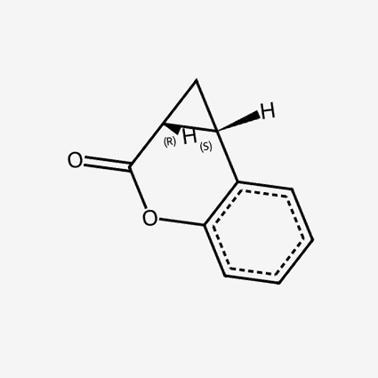 O=C1Oc2ccccc2[C@H]2C[C@@H]12